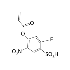 C=CC(=O)Oc1cc(F)c(S(=O)(=O)O)cc1[N+](=O)[O-]